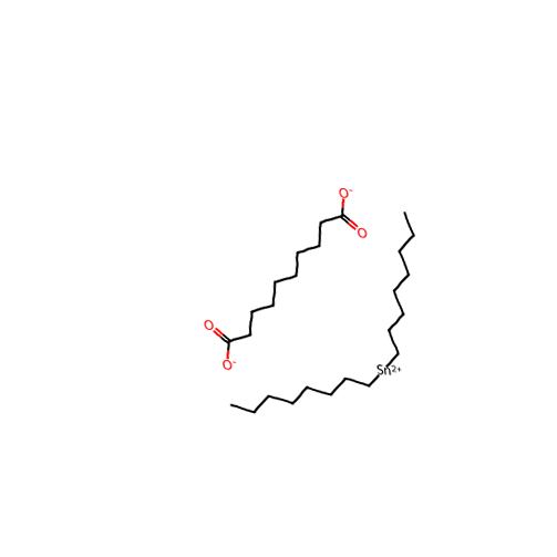 CCCCCCC[CH2][Sn+2][CH2]CCCCCCC.O=C([O-])CCCCCCCCC(=O)[O-]